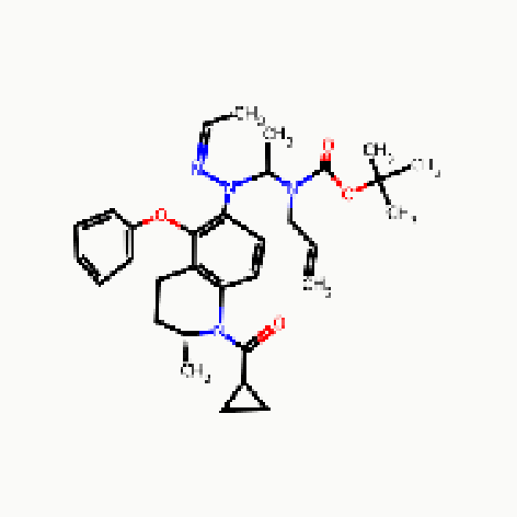 C=CCN(C(=O)OC(C)(C)C)C(C)N(/N=C\C)c1ccc2c(c1Oc1ccccc1)CC[C@H](C)N2C(=O)C1CC1